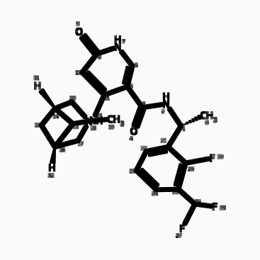 C[C@@H](NC(=O)c1c[nH]c(=O)cc1NC1[C@@H]2C[C@H]1CN(C)C2)c1cccc(C(F)F)c1F